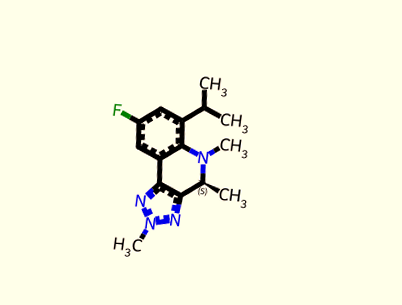 CC(C)c1cc(F)cc2c1N(C)[C@@H](C)c1nn(C)nc1-2